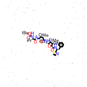 CC[C@H](C)C([C@H](CC(=O)NC[C@H]1O[C@H](C(=O)N[C@@H](Cc2ccccc2)c2nccs2)[C@@H](OC)[C@@H]1OC)OC)N(C)C(=O)[C@@H](NC(=O)OC(C)(C)C)C(C)C